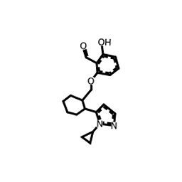 O=Cc1c(O)cccc1OCC1CCCCC1c1ccnn1C1CC1